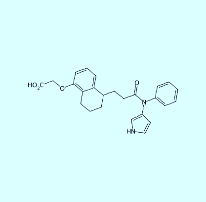 O=C(O)COc1cccc2c1CCCC2CCC(=O)N(c1ccccc1)c1cc[nH]c1